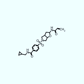 C=CC(=O)NC1CC2CN(S(=O)(=O)c3ccc(C(=O)NCC4CC4)cc3)CC2O1